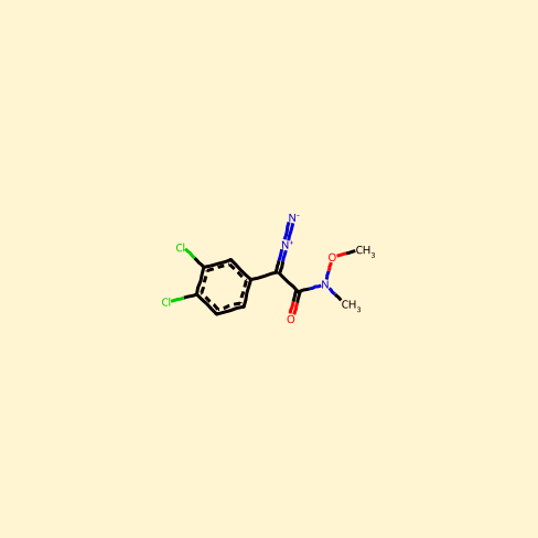 CON(C)C(=O)C(=[N+]=[N-])c1ccc(Cl)c(Cl)c1